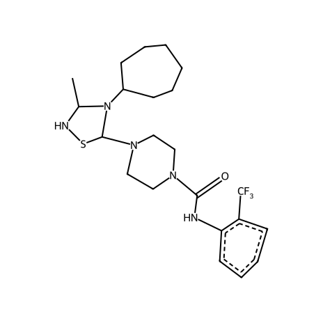 CC1NSC(N2CCN(C(=O)Nc3ccccc3C(F)(F)F)CC2)N1C1CCCCCC1